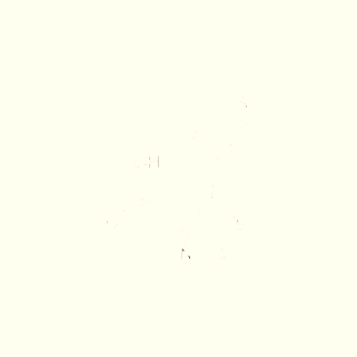 O=C(O)c1ncsc1-c1ccsc1